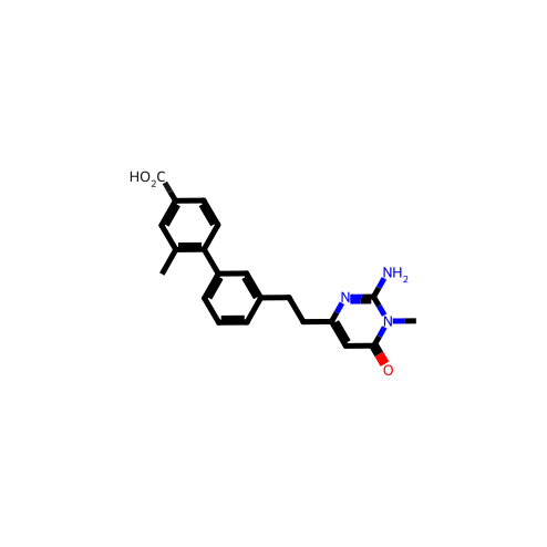 Cc1cc(C(=O)O)ccc1-c1cccc(CCc2cc(=O)n(C)c(N)n2)c1